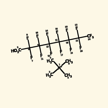 C[N+](C)(C)C.O=C(O)C(F)(F)C(F)(F)C(F)(F)C(F)(F)C(F)(F)C(F)(F)C(F)(F)F